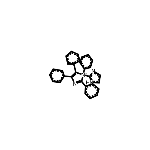 c1ccc(C2=NC(c3ccccc3)=C(c3ccccc3)[N+]2(c2ccccc2)c2ncc[nH]2)cc1